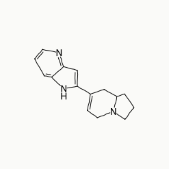 C1=C(c2cc3ncccc3[nH]2)CC2CCCN2C1